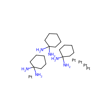 NC1(N)CCCCC1.NC1(N)CCCCC1.NC1(N)CCCCC1.[Pt].[Pt].[Pt].[Pt].[Pt]